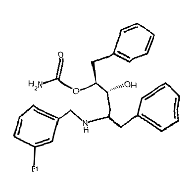 CCc1cccc(CNC(Cc2ccccc2)[C@@H](O)[C@H](Cc2ccccc2)OC(N)=O)c1